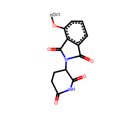 CCCCCCCCOc1cccc2c1C(=O)N(C1CCC(=O)NC1=O)C2=O